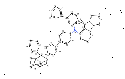 CC12c3ccccc3-c3cccc(c31)N(c1ccc(-c3ccc4c(c3)-c3ccccc3C43C4CC5CC(C4)CC3C5)cc1)c1cc(-c3ccccc3)ccc12